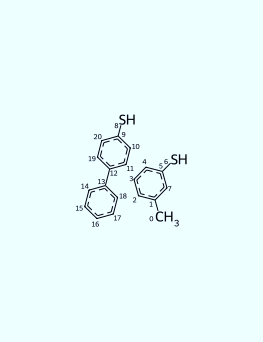 Cc1cccc(S)c1.Sc1ccc(-c2ccccc2)cc1